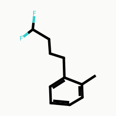 Cc1ccccc1CCCC(F)F